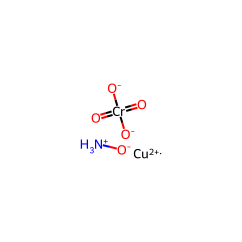 [Cu+2].[NH3+][O-].[O]=[Cr](=[O])([O-])[O-]